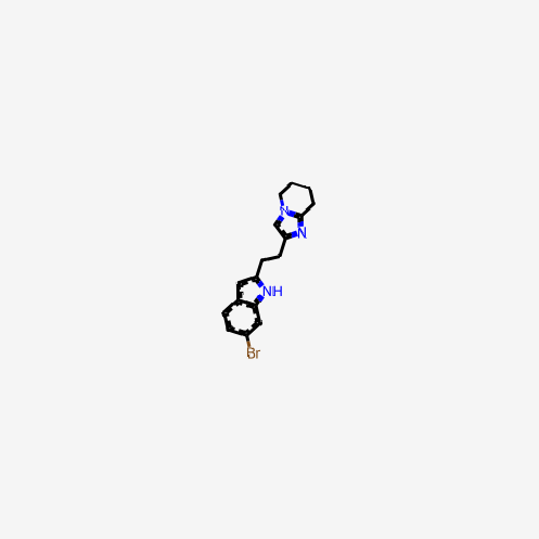 Brc1ccc2cc(CCc3cn4c(n3)CCCC4)[nH]c2c1